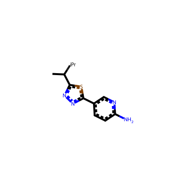 CC(C)C(C)c1nnc(-c2ccc(N)nc2)s1